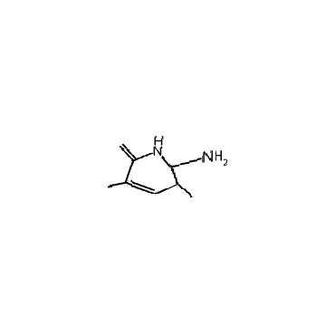 C=C1NC(N)C(C)C=C1C